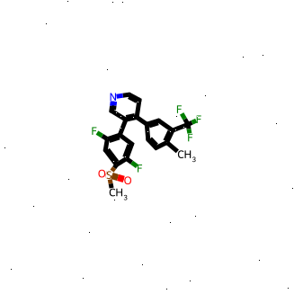 Cc1ccc(-c2ccncc2-c2cc(F)c(S(C)(=O)=O)cc2F)cc1C(F)(F)F